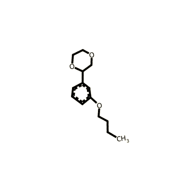 CCCCOc1cccc(C2COCCO2)c1